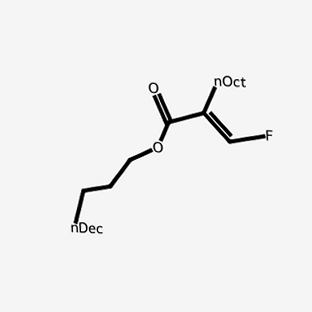 CCCCCCCCCCCCCOC(=O)C(=CF)CCCCCCCC